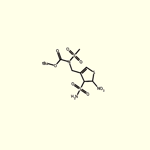 CC(C)(C)OC(=O)N(CC1=CSC([N+](=O)[O-])C1S(N)(=O)=O)S(C)(=O)=O